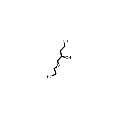 OCCOCC(O)CCO